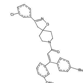 COc1cccc(C(=CC(=O)N2CCC3(CC2)CC(c2cccc(Cl)c2)=NO3)c2ccc(C(C)(C)C)cc2)c1